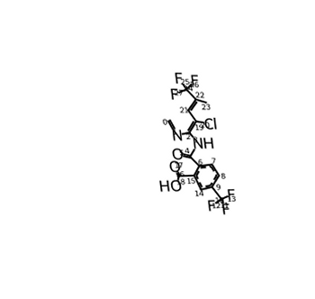 C=N/C(NC(=O)c1ccc(C(F)(F)F)cc1C(=O)O)=C(Cl)\C=C(/C)C(F)(F)F